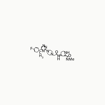 CNC(=O)[C@H]1C[C@@H](NC(=O)CN2CCN(c3nncc(C4(C)C=CC(F)=CC4)n3)CC2)CCN1